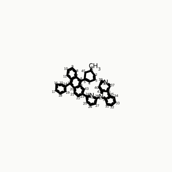 CC1C=CC=C(c2c3ccccc3c(-c3ccccc3)c3ccc(-c4cccc(-n5c6ccccc6c6cnccc65)n4)cc23)C1